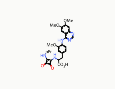 CCCNc1c(NC(Cc2ccc(Nc3ncnc4cc(OC)c(OC)cc34)c(OC)c2)C(=O)O)c(=O)c1=O